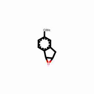 COc1ccc2c(c1)CC1OC21